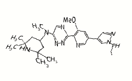 COc1cc(-c2cnn(PI)c2)cnc1-c1ncc(N(C)C2CC(C)(C)NC(C)(C)C2)nn1